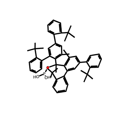 Cc1cc(-c2ccccc2C(C)(C)C)cc(-c2ccccc2C(C)(C)C)c1C(C)(OP(O)O)c1c(C)cc(-c2ccccc2C(C)(C)C)cc1-c1ccccc1C(C)(C)C